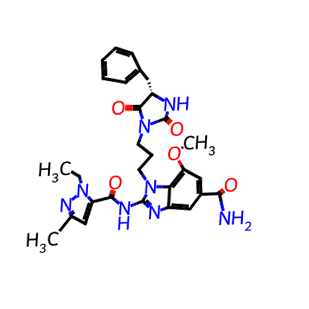 CCn1nc(C)cc1C(=O)Nc1nc2cc(C(N)=O)cc(OC)c2n1CCCN1C(=O)N[C@@H](Cc2ccccc2)C1=O